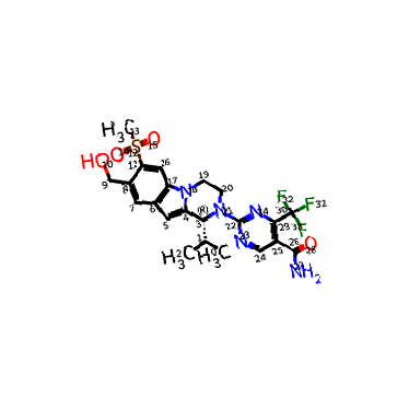 CC(C)[C@@H]1c2cc3cc(CO)c(S(C)(=O)=O)cc3n2CCN1c1ncc(C(N)=O)c(C(F)(F)F)n1